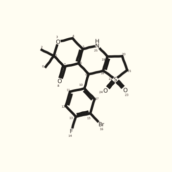 CC1(C)OCC2=C(C1=O)C(c1ccc(F)c(Br)c1)C1=C(CCS1(=O)=O)N2